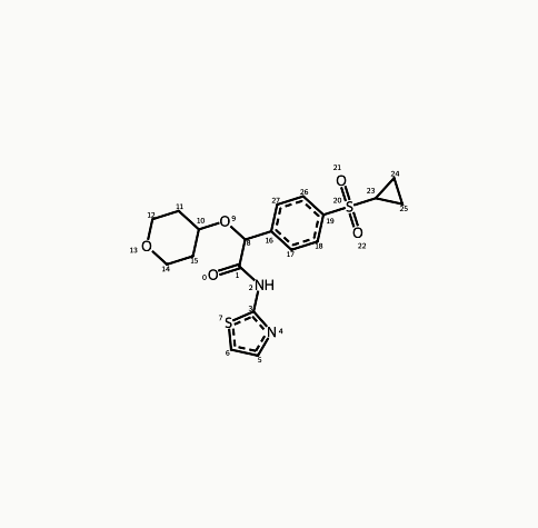 O=C(Nc1nccs1)C(OC1CCOCC1)c1ccc(S(=O)(=O)C2CC2)cc1